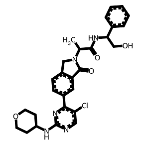 CC(C(=O)NC(CO)c1ccccc1)N1Cc2ccc(-c3nc(NC4CCOCC4)ncc3Cl)cc2C1=O